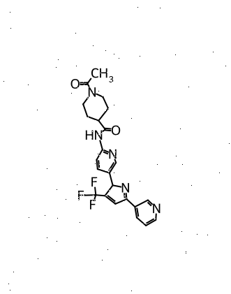 CC(=O)N1CCC(C(=O)Nc2ccc(C3N=C(c4cccnc4)C=C3C(F)(F)F)cn2)CC1